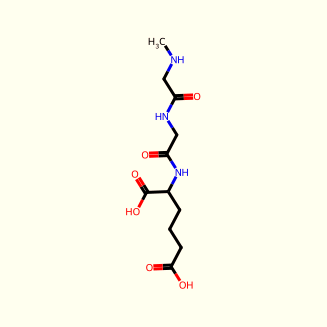 CNCC(=O)NCC(=O)NC(CCCC(=O)O)C(=O)O